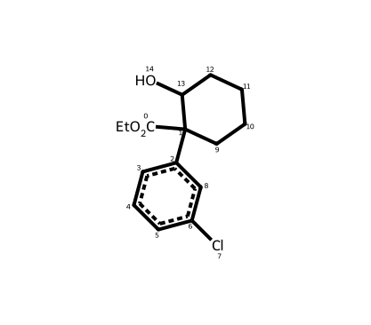 CCOC(=O)C1(c2cccc(Cl)c2)CCCCC1O